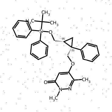 Cc1nn(C)c(=O)cc1OC[C@@]1(c2ccccc2)C[C@H]1CO[Si](c1ccccc1)(c1ccccc1)C(C)(C)C